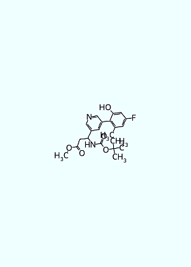 COC(=O)CC(NC(=O)OC(C)(C)C)c1cncc(-c2c(C)cc(F)cc2O)c1